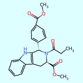 CCC(=O)N1[C@@H](c2ccc(C(=O)OC)cc2)c2[nH]c3ccccc3c2C[C@@H]1C(=O)OC